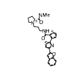 CNC(=O)[C@H]1CCCN1CCCNC(=O)c1sccc1-c1nc(-c2cc3ccccc3o2)cs1